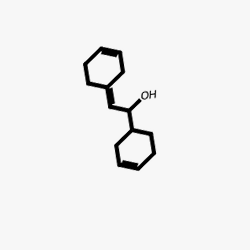 OC(/C=C1\CC=CCC1)C1CC=CCC1